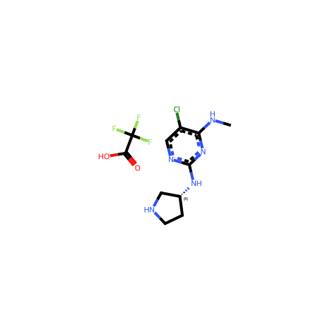 CNc1nc(N[C@@H]2CCNC2)ncc1Cl.O=C(O)C(F)(F)F